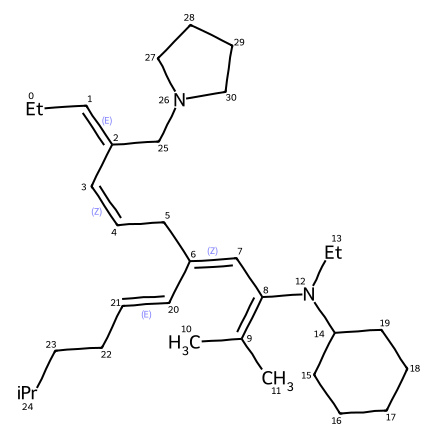 CC/C=C(\C=C/CC(=C/C(=C(C)C)N(CC)C1CCCCC1)/C=C/CCC(C)C)CN1CCCC1